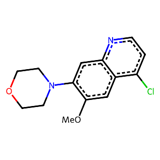 COc1cc2c(Cl)ccnc2cc1N1CCOCC1